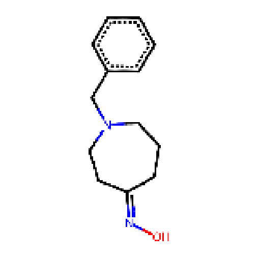 O/N=C1\CCCN(Cc2ccccc2)CC1